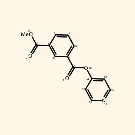 COC(=O)c1cccc(C(=O)Oc2ccncc2)c1